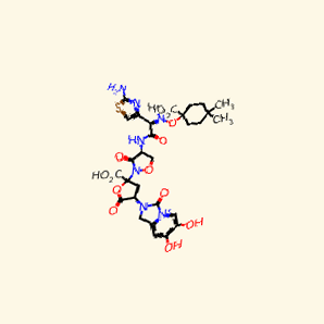 CC1(C)CCC(O/N=C(\C(=O)N[C@H]2CON(C3(C(=O)O)CC(N4Cc5cc(O)c(O)c[n+]5C4=O)C(=O)O3)C2=O)c2csc(N)n2)(C(=O)O)CC1